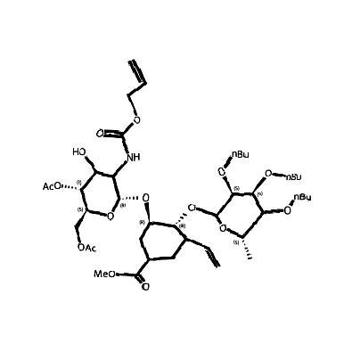 C=CCOC(=O)NC1C(O)[C@@H](OC(C)=O)[C@H](COC(C)=O)O[C@H]1O[C@@H]1CC(C(=O)OC)CC(C=C)[C@H]1OC1O[C@@H](C)C(OCCCC)[C@H](OCCCC)[C@@H]1OCCCC